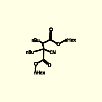 CCCCCCOC(=O)C(CCCC)C(C#N)(CCCC)C(=O)OCCCCCC